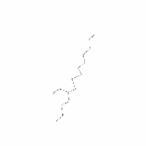 CCCCCCCCCCC(C[S])CCCC